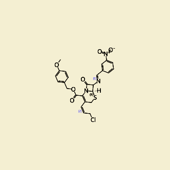 COc1ccc(COC(=O)C2=C(/C=C\CCl)CS[C@@H]3C(/N=C/c4cccc([N+](=O)[O-])c4)C(=O)N23)cc1